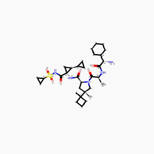 CC(C)[C@@]1(C2(C)CCC2)C[C@@H](C(=O)N[C@]2(C(=O)NS(=O)(=O)C3CC3)C[C@H]2C2CC2)N(C(=O)[C@@H](NC(=O)[C@@H](N)C2CCCCC2)C(C)(C)C)C1